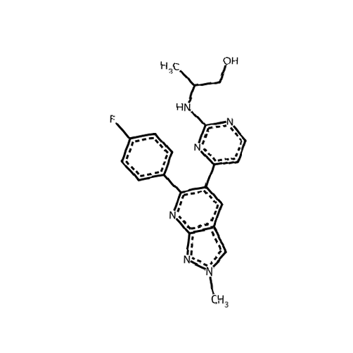 CC(CO)Nc1nccc(-c2cc3cn(C)nc3nc2-c2ccc(F)cc2)n1